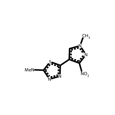 CNc1nnc(-c2cn(C)nc2[N+](=O)[O-])s1